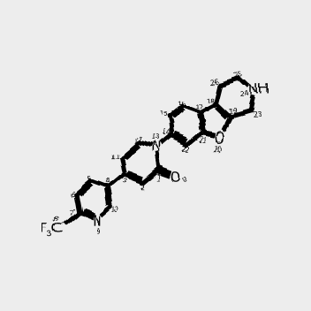 O=c1cc(-c2ccc(C(F)(F)F)nc2)ccn1-c1ccc2c3c(oc2c1)CNCC3